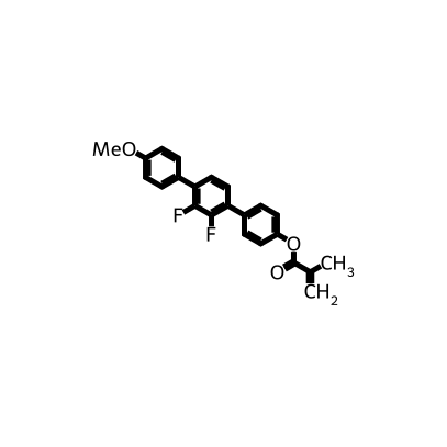 C=C(C)C(=O)Oc1ccc(-c2ccc(-c3ccc(OC)cc3)c(F)c2F)cc1